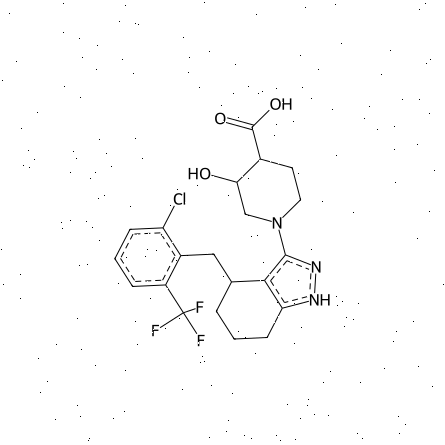 O=C(O)C1CCN(c2n[nH]c3c2C(Cc2c(Cl)cccc2C(F)(F)F)CCC3)CC1O